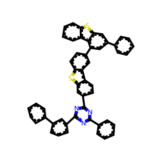 c1ccc(-c2cccc(-c3nc(-c4ccccc4)nc(-c4ccc5c(c4)sc4ccc(-c6cc(-c7ccccc7)cc7sc8ccccc8c67)cc45)n3)c2)cc1